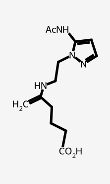 C=C(CCCC(=O)O)NCCn1nccc1NC(C)=O